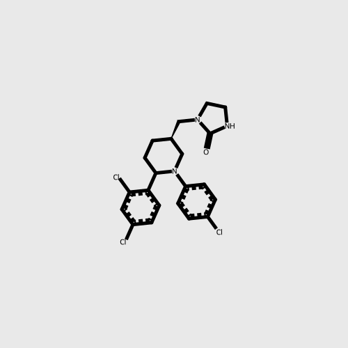 O=C1NCCN1C[C@@H]1CCC(c2ccc(Cl)cc2Cl)N(c2ccc(Cl)cc2)C1